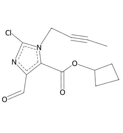 CC#CCn1c(Cl)nc(C=O)c1C(=O)OC1CCC1